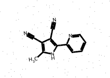 Cc1[nH]c(-c2ccccn2)c(C#N)c1C#N